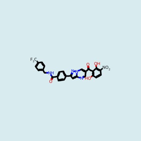 O=C(NCc1ccc(C(F)(F)F)cc1)c1ccc(-c2cc3ncc(C(=O)c4c(O)ccc([N+](=O)[O-])c4O)cn3n2)cc1